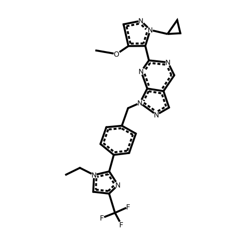 CCn1cc(C(F)(F)F)nc1-c1ccc(Cn2ncc3cnc(-c4c(OC)cnn4C4CC4)nc32)cc1